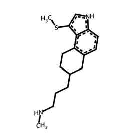 CNCCCC1CCc2c(ccc3[nH]cc(SC)c23)C1